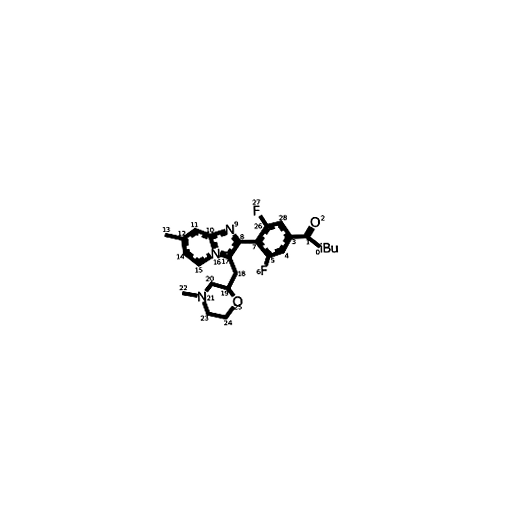 CCC(C)C(=O)c1cc(F)c(-c2nc3cc(C)ccn3c2CC2CN(C)CCO2)c(F)c1